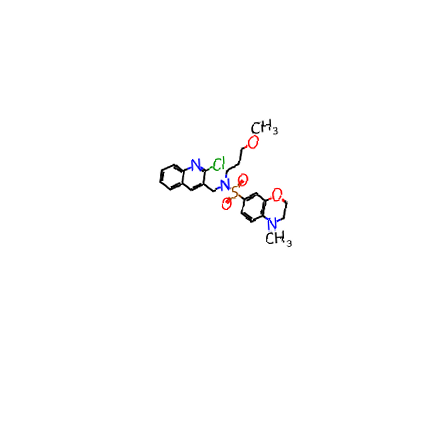 COCCCN(Cc1cc2ccccc2nc1Cl)S(=O)(=O)c1ccc2c(c1)OCCN2C